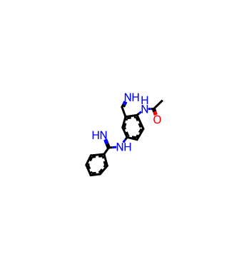 CC(=O)Nc1ccc(NC(=N)c2ccccc2)cc1C=N